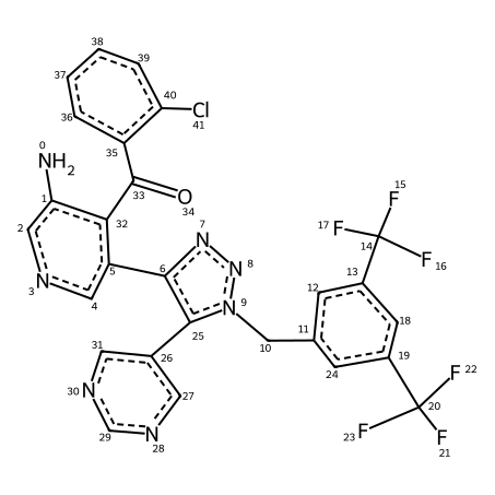 Nc1cncc(-c2nnn(Cc3cc(C(F)(F)F)cc(C(F)(F)F)c3)c2-c2cncnc2)c1C(=O)c1ccccc1Cl